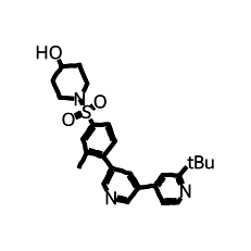 Cc1cc(S(=O)(=O)N2CCC(O)CC2)ccc1-c1cncc(-c2ccnc(C(C)(C)C)c2)c1